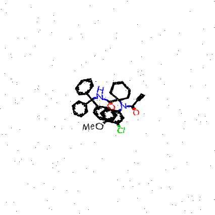 C#CC(=O)N(c1ccc(OC)c(Cl)c1)C1(C(=O)NC(c2ccccc2)(c2ccccc2)c2ccccc2)CCCCC1